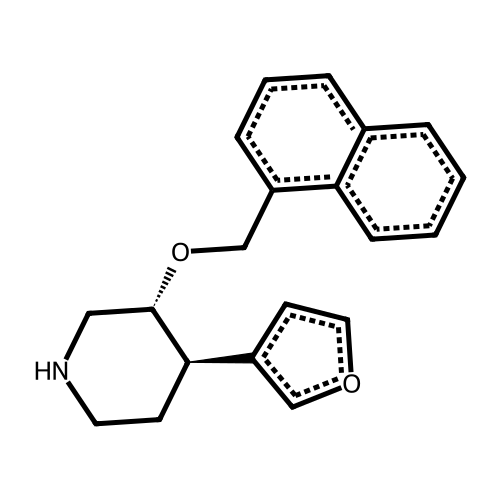 c1ccc2c(CO[C@H]3CNCC[C@@H]3c3ccoc3)cccc2c1